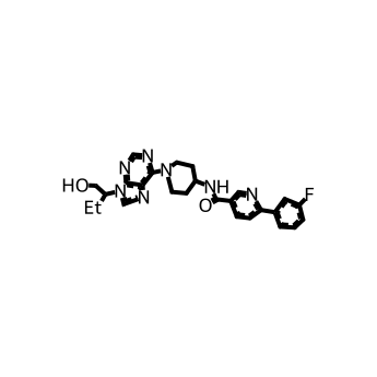 CCC(CO)n1cnc2c(N3CCC(NC(=O)c4ccc(-c5cccc(F)c5)nc4)CC3)ncnc21